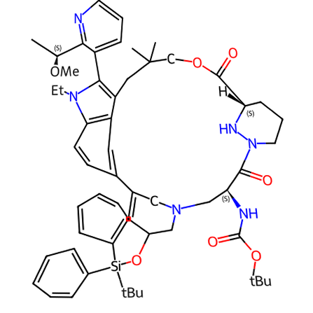 CCn1c(-c2cccnc2[C@H](C)OC)c2c3cc(ccc31)C1=CC(O[Si](c3ccccc3)(c3ccccc3)C(C)(C)C)CN(C1)C[C@H](NC(=O)OC(C)(C)C)C(=O)N1CCC[C@H](N1)C(=O)OCC(C)(C)C2